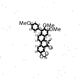 COc1ccc(-c2c(OC)c(OC)cc3c2ccc2c4ccc5c(c4c(=O)n(C)c32)OCO5)cc1